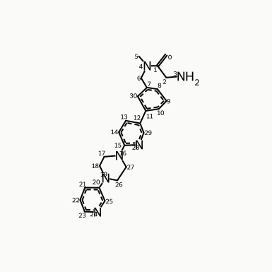 C=C(CN)N(C)Cc1cccc(-c2ccc(N3CCN(c4cccnc4)CC3)nc2)c1